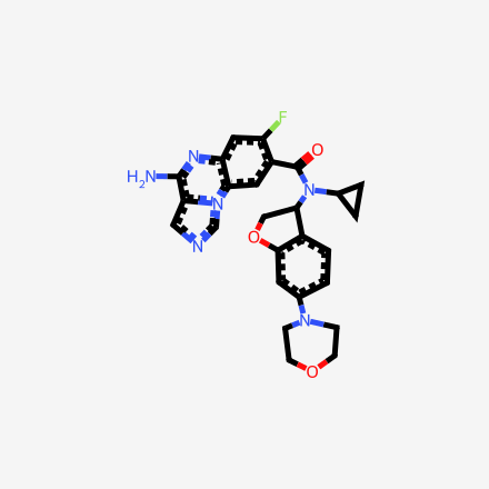 Nc1nc2cc(F)c(C(=O)N(C3CC3)C3COc4cc(N5CCOCC5)ccc43)cc2n2cncc12